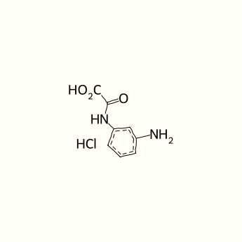 Cl.Nc1cccc(NC(=O)C(=O)O)c1